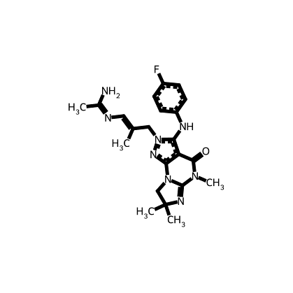 C/C(N)=N/C=C(\C)Cn1nc2c(c1Nc1ccc(F)cc1)C(=O)N(C)C1=NC(C)(C)CN12